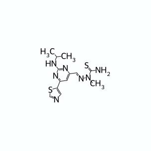 CC(C)Nc1nc(C=NN(C)C(N)=S)cc(-c2cncs2)n1